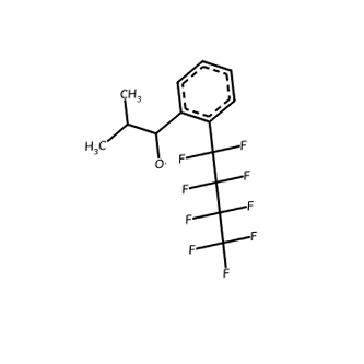 CC(C)C([O])c1ccccc1C(F)(F)C(F)(F)C(F)(F)C(F)(F)F